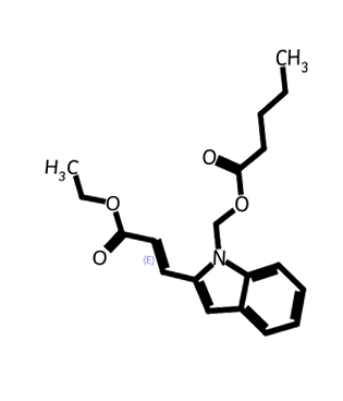 CCCCC(=O)OCn1c(/C=C/C(=O)OCC)cc2ccccc21